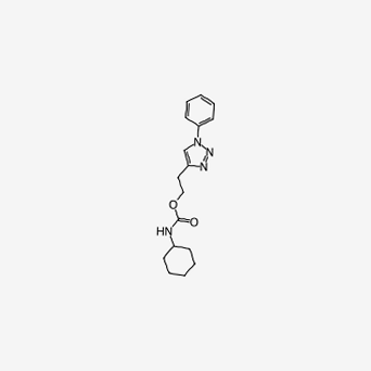 O=C(NC1CCCCC1)OCCc1cn(-c2ccccc2)nn1